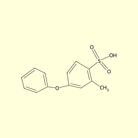 Cc1cc(Oc2ccccc2)ccc1S(=O)(=O)O